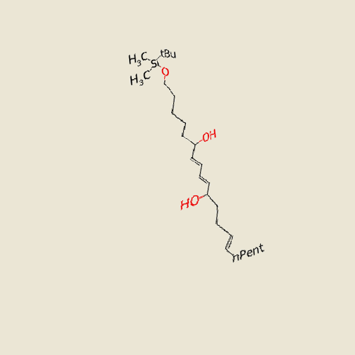 CCCCC/C=C/CCC(O)/C=C/C=C/C(O)CCCCCO[Si](C)(C)C(C)(C)C